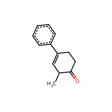 CC1C=C(c2ccccc2)CCC1=O